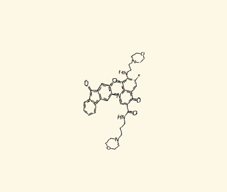 O=C(NCCCN1CCOCC1)c1cn2c3cc4c(cc3oc3c(NCCN5CCOCC5)c(F)cc(c1=O)c32)c(=O)c1ccccc14